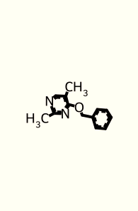 Cc1ncc(C)c(OCc2ccccc2)n1